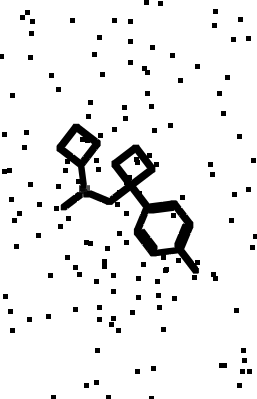 Cc1ccc(C2(CN(C)C3CCC3)CCC2)cc1